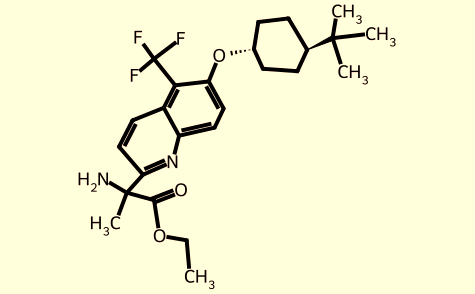 CCOC(=O)C(C)(N)c1ccc2c(C(F)(F)F)c(O[C@H]3CC[C@H](C(C)(C)C)CC3)ccc2n1